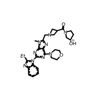 CCc1nc2ccccc2n1-c1nc(N2CCOCC2)c2nc(CN3CC(C(=O)N4CC[C@H](O)C4)C3)n(C)c2n1